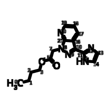 CCCCOC(=O)Cn1nc(-c2ncc[nH]2)c2cccnc21